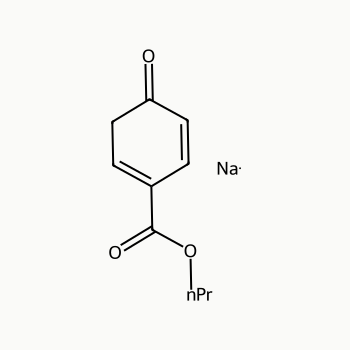 CCCOC(=O)C1=CCC(=O)C=C1.[Na]